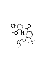 CCOC(=O)Cn1c2cc(C(C)(C)C)ccc2c(=O)c2ccc(Cl)c(OC)c21